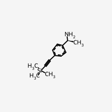 C[C@H](N)c1ccc(C#C[Si](C)(C)C)cc1